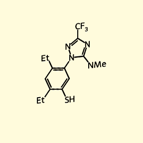 CCc1cc(CC)c(-n2nc(C(F)(F)F)nc2NC)cc1S